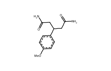 COc1ccc(C(CC(N)=O)CC(N)=O)cc1